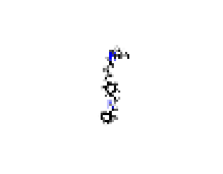 CCCN(CCC)CCC[CH]Cc1ccc(CN=Cc2ccccc2)cc1